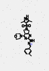 Cc1cccc(/C=N/Nc2nc3c(c(N4CCOCC4)n2)CN(S(=O)(=O)c2c(C)n[nH]c2C)C3)c1